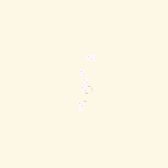 O=C1CCC(c2cccc(N3CCN(CC4CCNCC4)CC3)n2)C(=O)N1